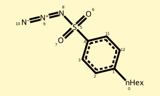 CCCCCCc1ccc(S(=O)(=O)N=[N+]=[N-])cc1